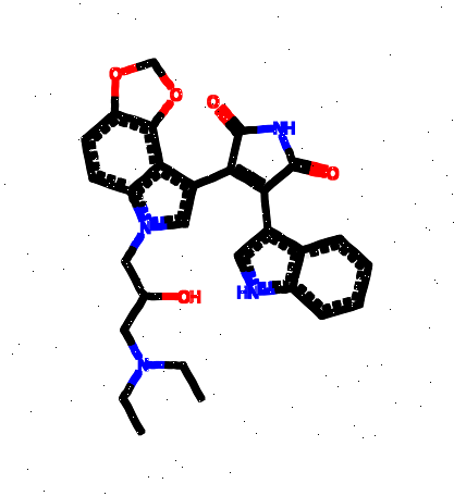 CCN(CC)CC(O)Cn1cc(C2=C(c3c[nH]c4ccccc34)C(=O)NC2=O)c2c3c(ccc21)OCO3